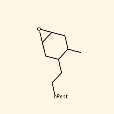 CCCCCCCC1CC2OC2CC1C